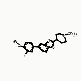 CC(C)Oc1ccc(-c2ccc3oc(C4CCN(C(=O)O)CC4)nc3c2)cc1F